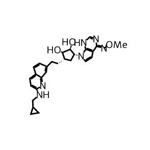 CON=c1nc[nH]c2c1ccn2[C@@H]1C[C@H](CCc2ccc3ccc(NCC4CC4)nc3c2)[C@@H](O)[C@H]1O